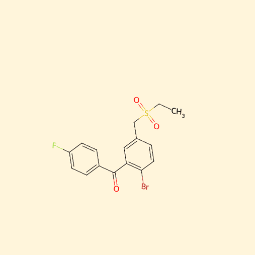 CCS(=O)(=O)Cc1ccc(Br)c(C(=O)c2ccc(F)cc2)c1